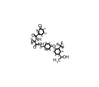 CC(O)c1ccc(Oc2ccc(CNC(=O)C3(NC(=O)c4cccc(Cl)n4)CC3)nc2)c(C(F)(F)F)c1